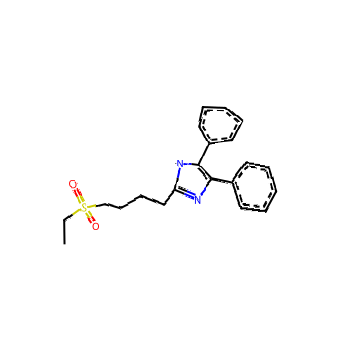 CCS(=O)(=O)CCCCC1=NC(c2ccccc2)=C(c2ccccc2)[N]1